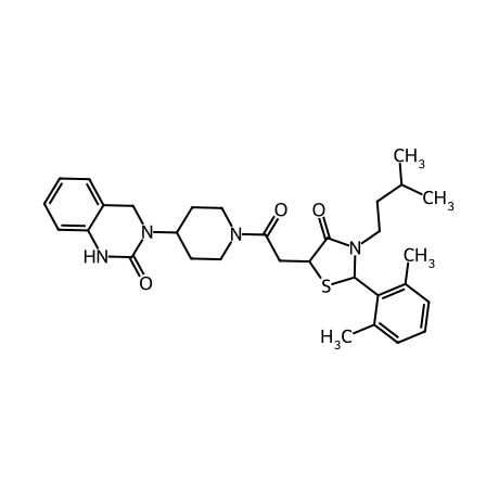 Cc1cccc(C)c1C1SC(CC(=O)N2CCC(N3Cc4ccccc4NC3=O)CC2)C(=O)N1CCC(C)C